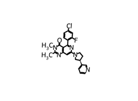 Cc1nc2cc(N3CC[C@@H](c4cccnc4)C3)nc(-c3ccc(Cl)cc3F)c2c(=O)n1C